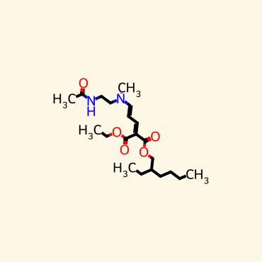 CCCCC(CC)COC(=O)C(=CC=CN(C)CCNC(C)=O)C(=O)OCC